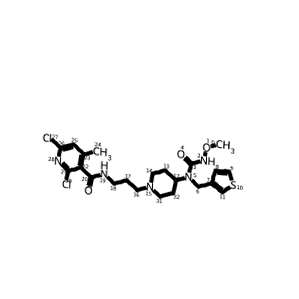 CONC(=O)N(Cc1ccsc1)C1CCN(CCCNC(=O)c2c(C)cc(Cl)nc2Cl)CC1